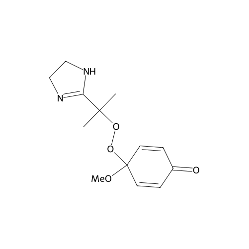 COC1(OOC(C)(C)C2=NCCN2)C=CC(=O)C=C1